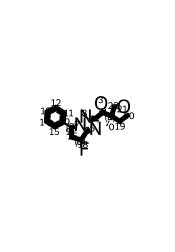 C[C@@]1(C(=O)c2nc3n(n2)[C@H](c2ccccc2)C[C@@H]3F)CCOC1